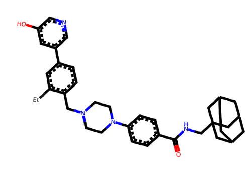 CCc1cc(-c2cncc(O)c2)ccc1CN1CCN(c2ccc(C(=O)NCC34CC5CC(CC(C5)C3)C4)cc2)CC1